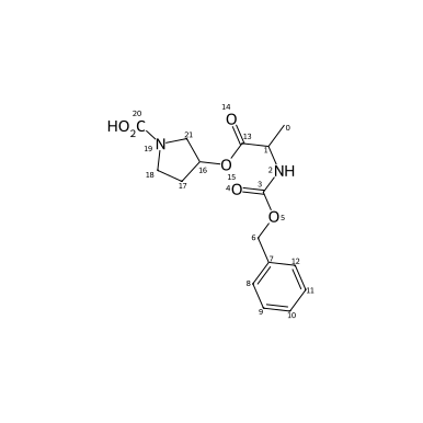 CC(NC(=O)OCc1ccccc1)C(=O)OC1CCN(C(=O)O)C1